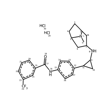 CN1C2CCC1CC(NC1CC1c1ccc(NC(=O)c3cccc(C(F)(F)F)c3)cc1)C2.Cl.Cl